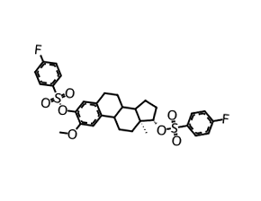 COc1cc2c(cc1OS(=O)(=O)c1ccc(F)cc1)CCC1C2CC[C@@]2(C)C1CC[C@@H]2OS(=O)(=O)c1ccc(F)cc1